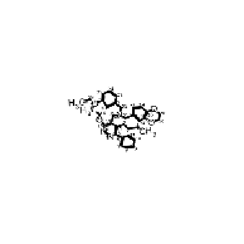 CCCCc1c(-c2ccccc2)nnc(OCC)c1CN(Cc1cccc(OCC)c1)Cc1ccc2c(c1)OCCO2